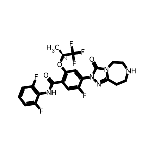 C[C@H](Oc1cc(-n2nc3n(c2=O)CCNCC3)c(F)cc1C(=O)Nc1c(F)cccc1F)C(F)(F)F